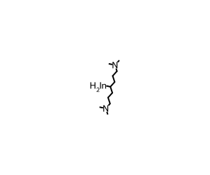 CN(C)CCC[CH]([InH2])CCCN(C)C